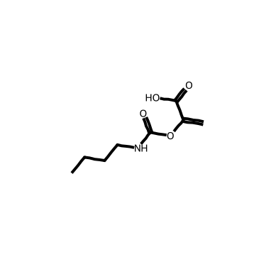 C=C(OC(=O)NCCCC)C(=O)O